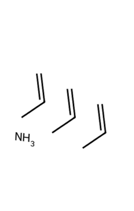 C=CC.C=CC.C=CC.N